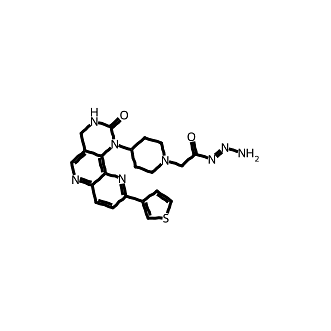 NN=NC(=O)CN1CCC(N2C(=O)NCc3cnc4ccc(-c5ccsc5)nc4c32)CC1